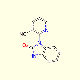 N#Cc1cccnc1-n1c(=O)[nH]c2ccccc21